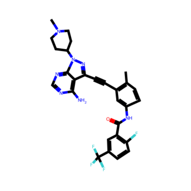 Cc1ccc(NC(=O)c2cc(C(F)(F)F)ccc2F)cc1C#Cc1nn(C2CCN(C)CC2)c2ncnc(N)c12